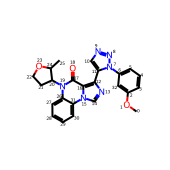 COc1cccc(-n2nncc2-c2ncn3c2c(=O)n(C2CCOC2C)c2ccccc23)c1